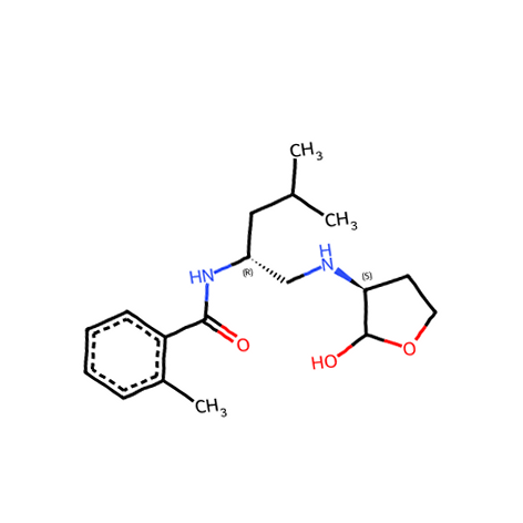 Cc1ccccc1C(=O)N[C@@H](CN[C@H]1CCOC1O)CC(C)C